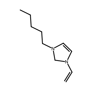 C=CN1C=CN(CCCCC)C1